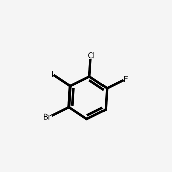 Fc1ccc(Br)c(I)c1Cl